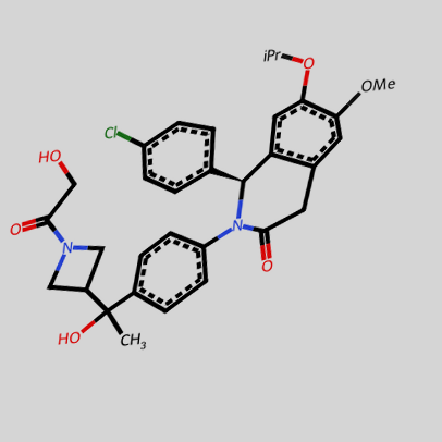 COc1cc2c(cc1OC(C)C)[C@H](c1ccc(Cl)cc1)N(c1ccc(C(C)(O)C3CN(C(=O)CO)C3)cc1)C(=O)C2